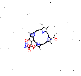 CC[C@H]1c2cc3[nH]c4c(c3C)C(=O)C(C(=O)OC)c4c3nc(cc4[nH]c(cc(n2)C1C)c(C(C)=O)c4C)C(C)[C@@H]3CCC(=O)NC